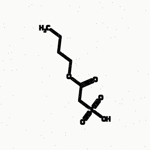 CCCCOC(=O)CS(=O)(=O)O